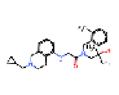 CC(C)(O)CN(Cc1ccccc1C(F)(F)F)C(=O)CNc1cccc2c1CCN(CC1CC1)C2